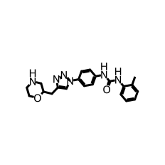 Cc1ccccc1NC(=O)Nc1ccc(-n2cc(CC3CNCCO3)nn2)cc1